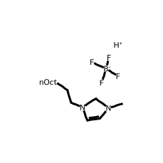 CCCCCCCCCCN1C=CN(C)C1.F[B-](F)(F)F.[H+]